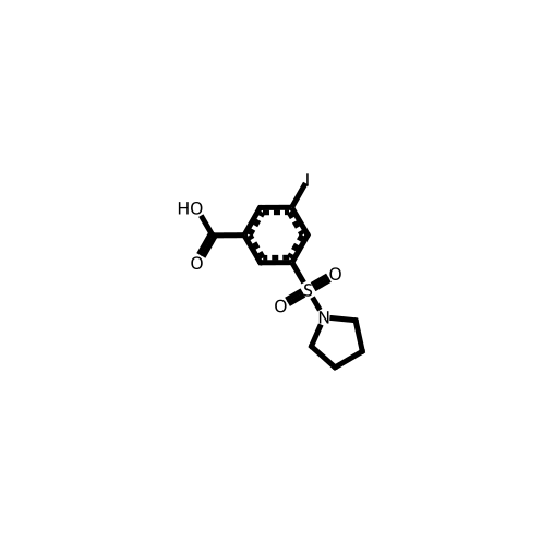 O=C(O)c1cc(I)cc(S(=O)(=O)N2CCCC2)c1